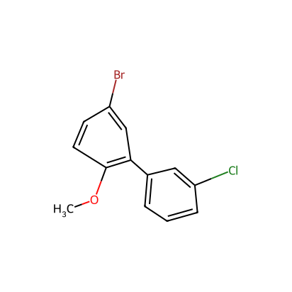 COc1ccc(Br)cc1-c1cccc(Cl)c1